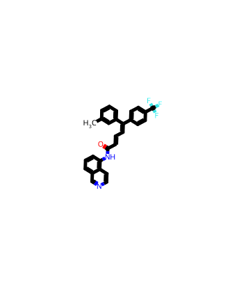 Cc1cccc(C(=CC=CC(=O)Nc2cccc3cnccc23)c2ccc(C(F)(F)F)cc2)c1